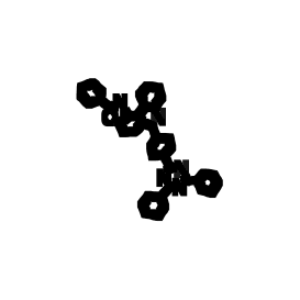 c1ccc(-c2nc(-c3ccccc3)nc(-c3ccc(-c4nc5ccccc5c5c4ccc4oc(-c6ccccc6)nc45)cc3)n2)cc1